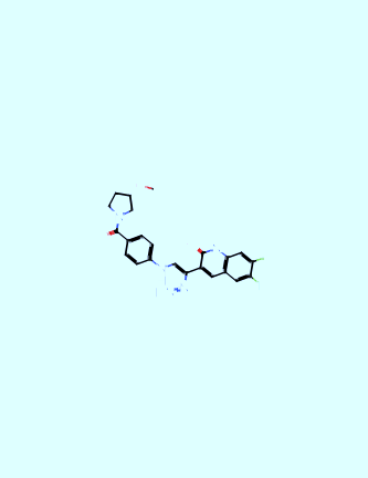 CO[C@H]1CCN(C(=O)c2ccc(N/C=C(\N=N)c3cc4cc(F)c(F)cc4[nH]c3=O)cc2)C1